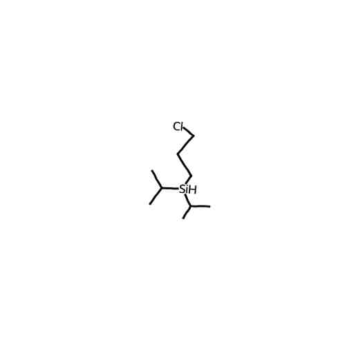 CC(C)[SiH](CCCCl)C(C)C